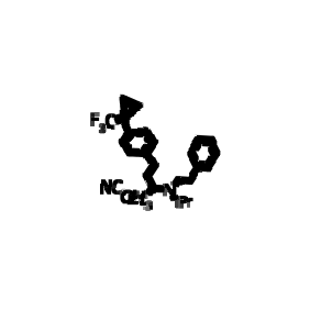 CC#N.CCC(CCc1ccc(C2(C(F)(F)F)CC2)cc1)N(CCc1ccccc1)C(C)C